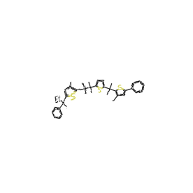 CCC(C)(c1ccccc1)c1cc(C)c(C(C)(C)C(C)(C)c2ccc(C(C)(C)c3sc(-c4ccccc4)cc3C)s2)s1